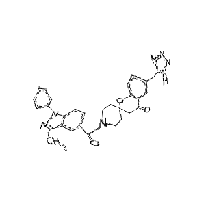 Cc1nn(-c2ccccc2)c2ccc(C(=O)N3CCC4(CC3)CC(=O)c3cc(-c5nnn[nH]5)ccc3O4)cc12